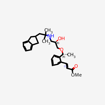 COC(=O)/C=C/c1ccccc1[C@@H](C)OC[C@H](O)CNC(C)(C)CC1Cc2ccccc2C1